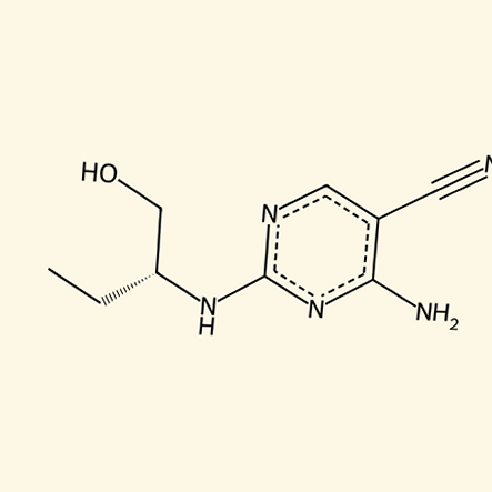 CC[C@H](CO)Nc1ncc(C#N)c(N)n1